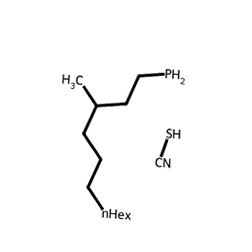 CCCCCCCCCC(C)CCP.N#CS